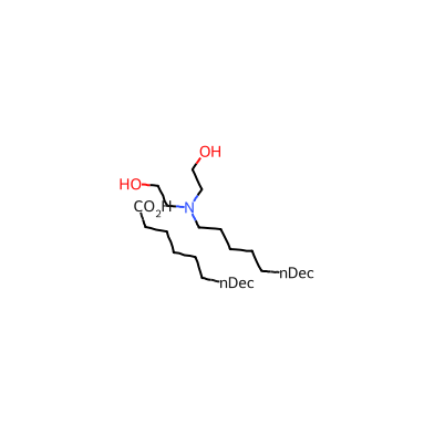 CCCCCCCCCCCCCCCC(=O)O.CCCCCCCCCCCCCCCN(CCO)CCO